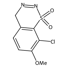 COc1ccc2c(c1Cl)S(=O)(=O)N=NC2